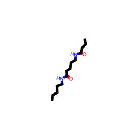 CCCCCNC(=O)CCCCNC(=O)CCC